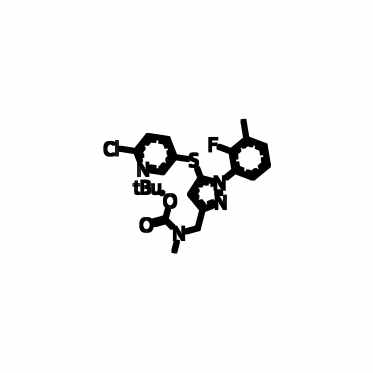 Cc1cccc(-n2nc(CN(C)C(=O)OC(C)(C)C)cc2Sc2ccc(Cl)nc2)c1F